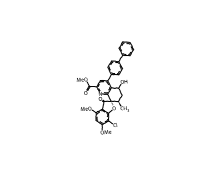 COC(=O)c1cc(-c2ccc(-c3ccccc3)cc2)c2c(n1)[C@@]1(Oc3c(Cl)c(OC)cc(OC)c3C1=O)[C@H](C)CC2O